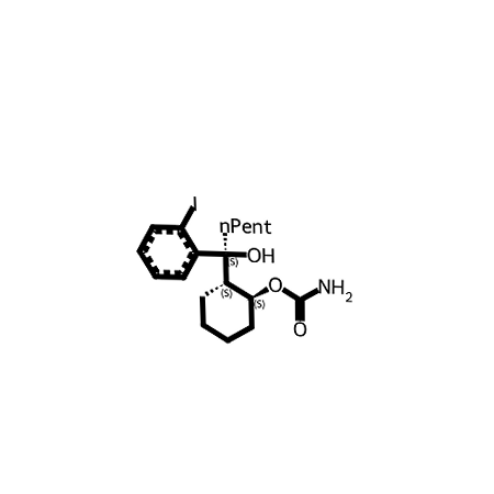 CCCCC[C@@](O)(c1ccccc1I)[C@H]1CCCC[C@@H]1OC(N)=O